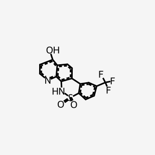 O=S1(=O)Nc2c(ccc3c(O)ccnc23)-c2cc(C(F)(F)F)ccc21